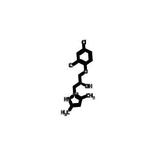 Cc1cc(C)[n+](C[C@H](O)COc2ccc(Cl)cc2Cl)[nH]1